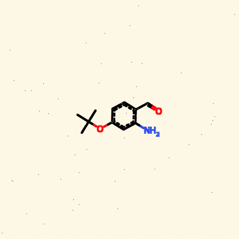 CC(C)(C)Oc1ccc(C=O)c(N)c1